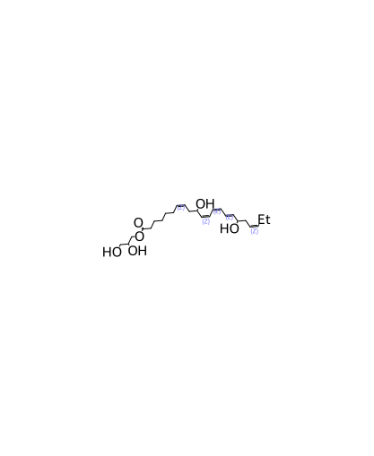 CC/C=C\CC(O)/C=C/C=C\C=C/C(O)C/C=C\CCCCCC(=O)OCC(O)CO